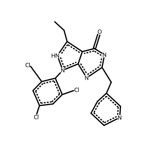 CCc1[nH]n(-c2c(Cl)cc(Cl)cc2Cl)c2nc(Cc3cccnc3)nc(=O)c1-2